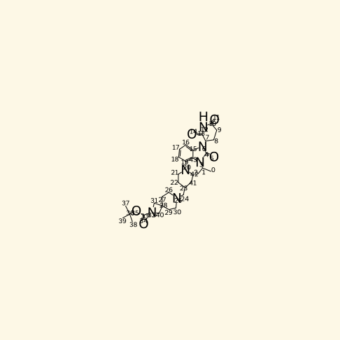 CC(C)n1c(=O)n(C2CCC(=O)NC2=O)c2cccc(N3CCC(CN4CCC5(CC4)CN(C(=O)OC(C)(C)C)C5)CC3)c21